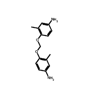 Cc1cc(N)ccc1OCOc1ccc(N)cc1C